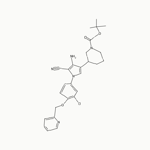 CC(C)(C)OC(=O)N1CCCC(c2cn(-c3ccc(OCc4ccccn4)c(Cl)c3)c(C#N)c2N)C1